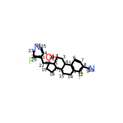 C[C@]12CCC3c4ccc(C#N)c(F)c4CCC3C1CC[C@@]2(O)Cc1ccncc1F